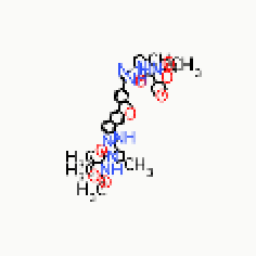 COC(=O)N[C@H](C(=O)N1C[C@@H](C)CC1c1nc2ccc3cc4c(cc3c2[nH]1)OCc1cc(-c2cnc([C@@H]3CC[C@H](C)N3C(=O)[C@@H](NC(=O)OC)C3CCOCC3)[nH]2)ccc1-4)C(C)C